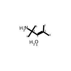 CC(C)=CC(C)(C)N.O